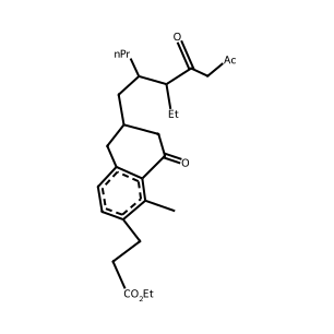 CCCC(CC1CC(=O)c2c(ccc(CCC(=O)OCC)c2C)C1)C(CC)C(=O)CC(C)=O